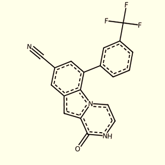 N#Cc1cc(-c2cccc(C(F)(F)F)c2)c2c(c1)cc1c(=O)[nH]ccn12